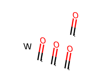 [C]=O.[C]=O.[C]=O.[C]=O.[W]